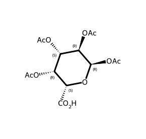 CC(=O)O[C@H]1O[C@H](C(=O)O)[C@H](OC(C)=O)[C@H](OC(C)=O)[C@H]1OC(C)=O